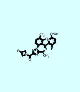 COc1ccc(F)c(C2=N[C@@H](C)c3nc(C(=O)N4CC(F)C4)nn3-c3ccc(C(F)(F)F)c(Cl)c32)n1